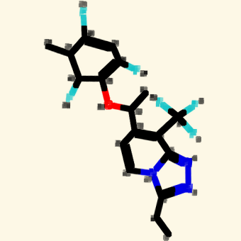 CCc1nnc2c(C(F)(F)F)c(C(C)OC3=C(F)C=C(F)C(C)C3F)ccn12